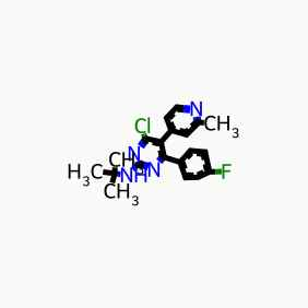 Cc1cc(-c2c(Cl)nc(NC(C)(C)C)nc2-c2ccc(F)cc2)ccn1